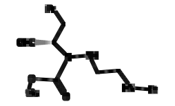 CCNCCNN(C(=O)OC(C)(C)C)[C@H](C=O)CC(C)C